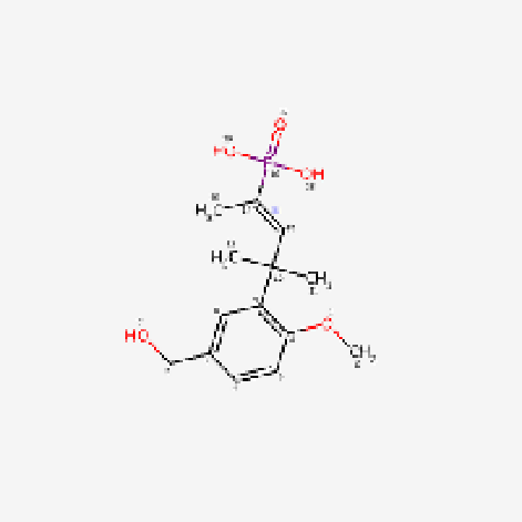 COc1ccc(CO)cc1C(C)(C)/C=C(\C)P(=O)(O)O